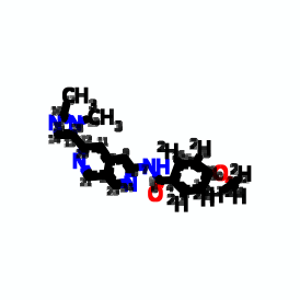 [2H]c1c([2H])c(C(=O)Nc2cc3cc(-c4cnc(C)n4C)ncc3cn2)c([2H])c([2H])c1OC([2H])([2H])[2H]